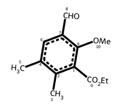 CCOC(=O)c1c(C)c(C)cc(C=O)c1OC